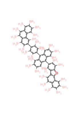 Bc1c(B)c(-c2c3c(B)c(B)c(B)c(B)c3c(-c3c(B)c(B)c4oc5c6c(B)c(B)c(B)c(B)c6c(B)c(B)c5c4c3B)c3c(B)c(B)c(B)c(B)c23)c(B)c(B)c1-c1c(B)c(B)c2c(B)c(B)c3c(B)c(B)c(B)c(B)c3c2c1B